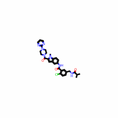 CC(C)C(=O)NCc1ccc(Cl)c(C(=O)Nc2ccc3c(c2)cc(C(=O)N2CCN(c4ncccn4)CC2)n3C)c1